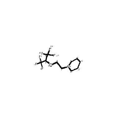 FC(F)(F)C(OCCN1CCCCC1)C(F)(F)F